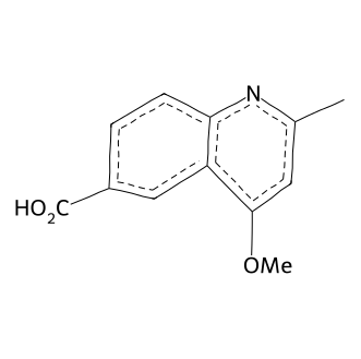 COc1cc(C)nc2ccc(C(=O)O)cc12